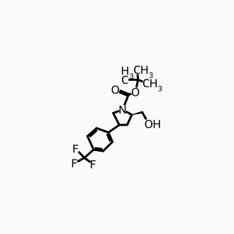 CC(C)(C)OC(=O)N1CC(c2ccc(C(F)(F)F)cc2)C[C@@H]1CO